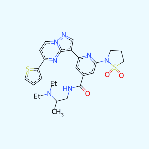 CCN(CC)C(C)CNC(=O)c1cc(-c2cnn3ccc(-c4cccs4)nc23)nc(N2CCCS2(=O)=O)c1